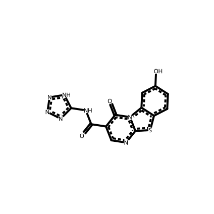 O=C(Nc1nnn[nH]1)c1cnc2sc3ccc(O)cc3n2c1=O